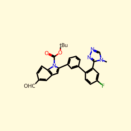 Cn1cnnc1-c1cc(F)ccc1-c1cccc(-c2cc3cc(C=O)ccc3n2C(=O)OC(C)(C)C)c1